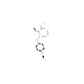 N#Cc1ccc(CN2CCOC(O)C2C=O)cc1